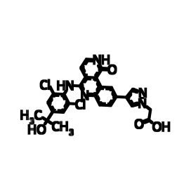 CC(C)(O)c1cc(Cl)c(Nc2nc3ccc(-c4cnn(CC(=O)O)c4)cc3c3c(=O)[nH]ccc23)c(Cl)c1